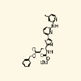 Cc1ccnc(Nc2cccc(-c3cnc([C@H](CCC(=O)OCc4ccccc4)NC(=O)OC(C)(C)C)s3)n2)c1